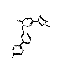 Cc1cnc(-c2cccc(Cn3nc(-c4cnn(C)c4)ccc3=O)c2)nc1